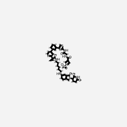 CS(=O)(=O)n1ccc(C(=O)NCC(=O)Nc2nc(-c3cccc(-c4ccnc(C5(C(=O)NCCCCCCNc6ccc7c(c6)C(=O)N(C6CCC(=O)NC6=O)C7)CC5)c4)c3)cs2)c1